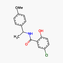 COc1ccc(C(C)NC(=O)c2cc(Cl)ccc2O)cc1